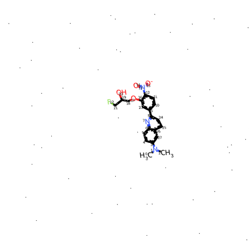 CN(C)c1ccc2nc(-c3ccc([N+](=O)[O-])c(OCC(O)CF)c3)ccc2c1